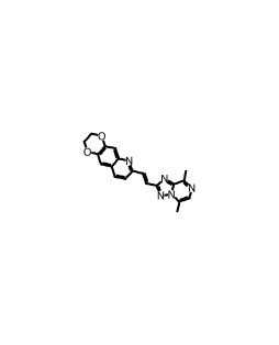 Cc1ncc(C)n2nc(C=Cc3ccc4cc5c(cc4n3)OCCO5)nc12